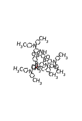 Cc1ccc(N(c2ccc(C)cc2)c2cc3c4c(c2)Oc2ccccc2B4c2cc4c(cc2N3)Oc2cc(N(c3ccc(C)cc3)c3ccc(C)cc3)cc3c2B4c2cc4c(cc2N3c2c(C)cc(C)cc2C)Oc2cc(N(c3ccc(C)cc3)c3ccc(C)cc3)cc3c2B4c2ccccc2O3)cc1